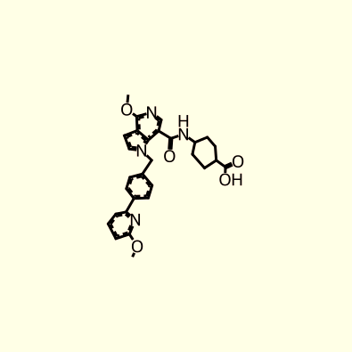 COc1cccc(-c2ccc(Cn3ccc4c(OC)ncc(C(=O)NC5CCC(C(=O)O)CC5)c43)cc2)n1